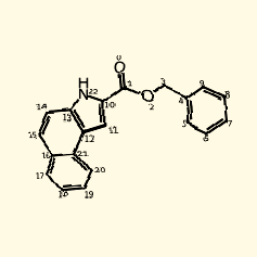 O=C(OCc1ccccc1)c1cc2c(ccc3ccccc32)[nH]1